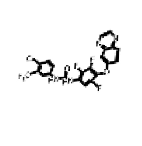 O=C(Nc1ccc(Cl)c(C(F)(F)F)c1)Nc1cc(F)c(Oc2ccc3nccnc3c2)c(F)c1F